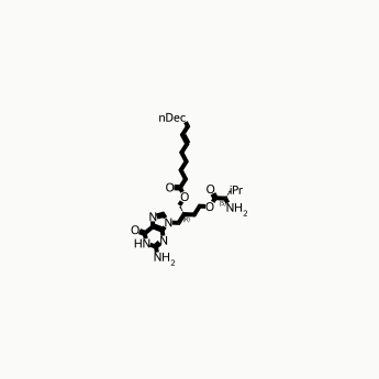 CCCCCCCCCCCC=CCCCCC(=O)OC[C@H](CCOC(=O)[C@@H](N)C(C)C)Cn1cnc2c(=O)[nH]c(N)nc21